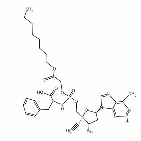 C#C[C@]1(COP(=O)(NC(Cc2ccccc2)C(=O)O)OCC(=O)OCCCCCCCC)O[C@@H](n2cnc3c(N)nc(F)nc32)C[C@@H]1O